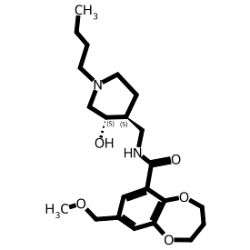 CCCCN1CC[C@@H](CNC(=O)c2cc(COC)cc3c2OCCCO3)[C@H](O)C1